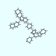 c1ccc(-c2cc3oc4ccccc4c3c3sc(-c4ccc(-c5ccc6c7cc8ccccc8cc7n(-c7ccc8ccccc8c7)c6c5)cc4)nc23)cc1